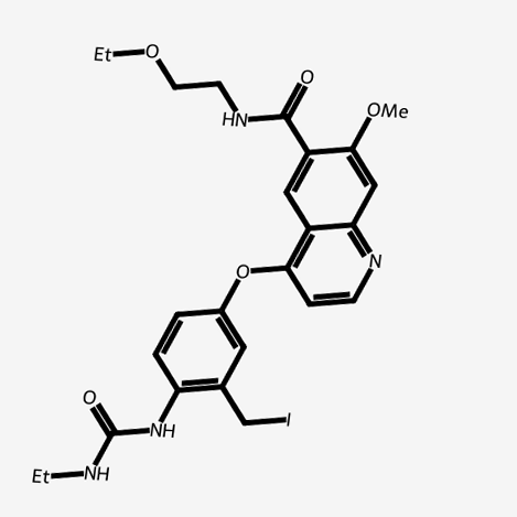 CCNC(=O)Nc1ccc(Oc2ccnc3cc(OC)c(C(=O)NCCOCC)cc23)cc1CI